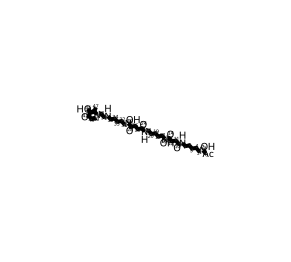 CC(=O)N(O)CCCCCNC(=O)CCC(=O)N(O)CCCCCNC(=O)CCC(=O)N(O)CCCCCNCCn1ccc(=O)c(O)c1C